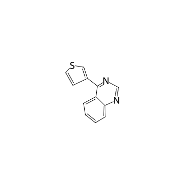 c1ccc2c(-c3ccsc3)ncnc2c1